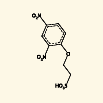 O=[N+]([O-])c1ccc(OCCS(=O)(=O)O)c([N+](=O)[O-])c1